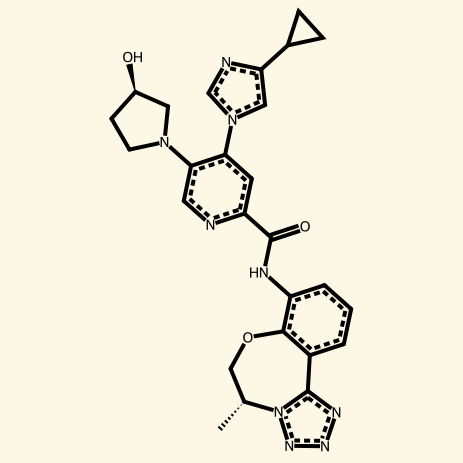 C[C@@H]1COc2c(NC(=O)c3cc(-n4cnc(C5CC5)c4)c(N4CC[C@@H](O)C4)cn3)cccc2-c2nnnn21